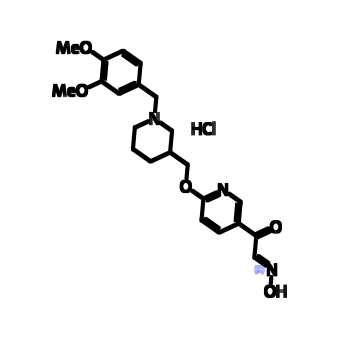 COc1ccc(CN2CCCC(COc3ccc(C(=O)/C=N/O)cn3)C2)cc1OC.Cl